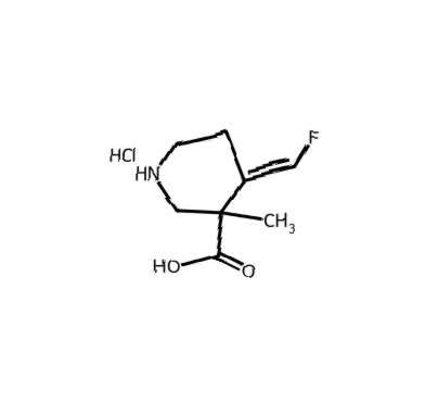 CC1(C(=O)O)CNCC/C1=C\F.Cl